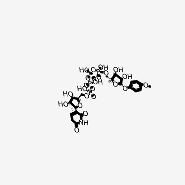 COc1ccc(O[C@@H]2O[C@H](COP(=O)(O)OP(=O)(O)OP(=O)(O)OP(=O)(O)OC[C@H]3O[C@@H](C4=CCC(=O)NC4=O)[C@H](O)[C@@H]3O)[C@@H](O)[C@H]2O)cc1